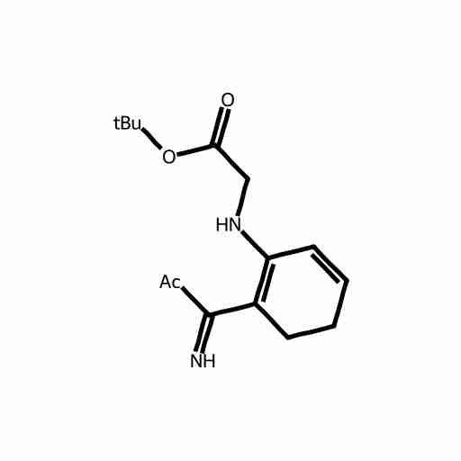 CC(=O)C(=N)C1=C(NCC(=O)OC(C)(C)C)C=CCC1